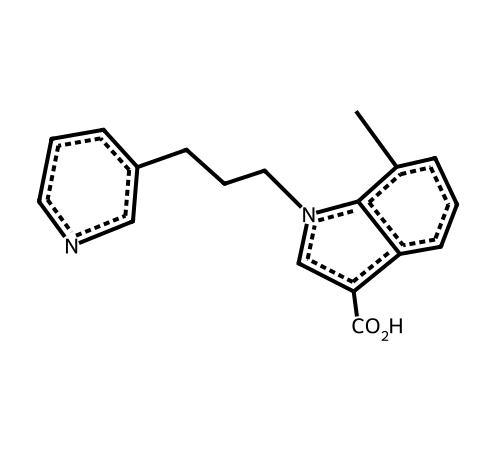 Cc1cccc2c(C(=O)O)cn(CCCc3cccnc3)c12